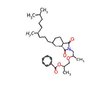 CC(C)CCCC(C)CCCC1CCC2C(=O)N(CC(C)OCC(C)OC(=O)c3ccccc3)C(=O)C2C1